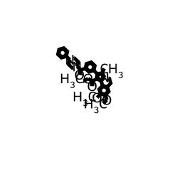 CCOC(=O)c1c(-c2cccc(C(=O)N3CCN(c4ccccc4)CC3)c2)c(C)n2c1-c1cc(OC)c(OC)cc1CC2